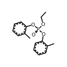 CCOP(=O)(Oc1ccccc1C)Oc1ccccc1C